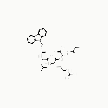 CCC(=O)OC[C@H](NC(=O)[C@H](CCCNC(=N)N)NC(=O)[C@H](CC(C)C)NC(=O)OCC1c2ccccc2-c2ccccc21)C(N)=O